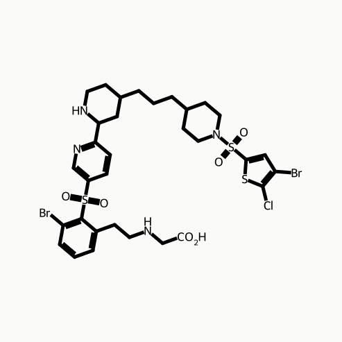 O=C(O)CNCCc1cccc(Br)c1S(=O)(=O)c1ccc(C2CC(CCCC3CCN(S(=O)(=O)c4cc(Br)c(Cl)s4)CC3)CCN2)nc1